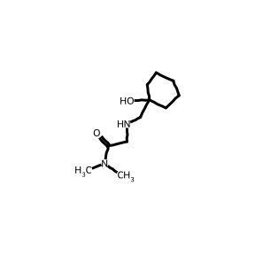 CN(C)C(=O)CNCC1(O)CCCCC1